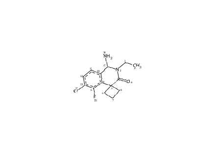 CCN1C(=O)C2(CCC2)c2c(ccc(Cl)c2F)C1N